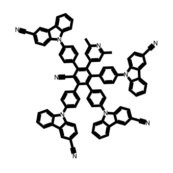 Cc1cc(-c2c(-c3ccc(-n4c5ccccc5c5cc(C#N)ccc54)cc3)c(C#N)c(-c3ccc(-n4c5ccccc5c5cc(C#N)ccc54)cc3)c(-c3ccc(-n4c5ccccc5c5cc(C#N)ccc54)cc3)c2-c2ccc(-n3c4ccccc4c4cc(C#N)ccc43)cc2)cc(C)n1